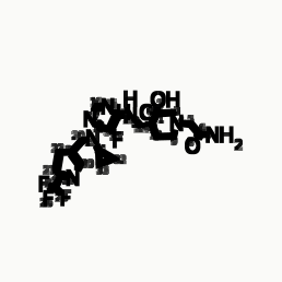 C[C@]1(O)CN(CC(N)=O)CC[C@H]1CNc1ncnc(N(Cc2ccc(C(F)(F)F)nc2)C2CC2)c1F